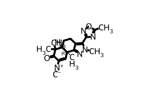 [C-]#[N+]C1=C[C@]2(C)c3nn(C)c(-c4noc(C)n4)c3CC[C@H]2C(C)(C)C1=O